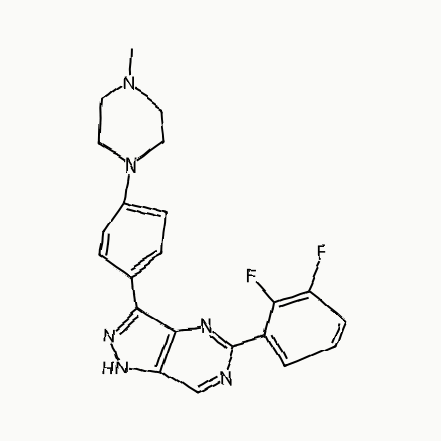 CN1CCN(c2ccc(-c3n[nH]c4cnc(-c5cccc(F)c5F)nc34)cc2)CC1